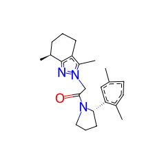 Cc1ccc(C)c([C@@H]2CCCN2C(=O)Cn2nc3c(c2C)CCC[C@@H]3C)c1